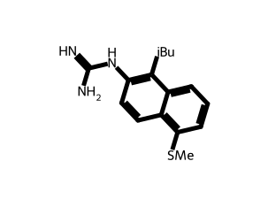 CCC(C)c1c(NC(=N)N)ccc2c(SC)cccc12